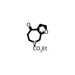 CCOC(=O)N1CCC(=O)c2ccoc2C1